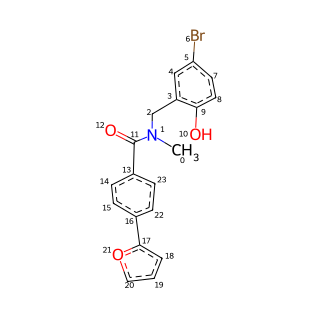 CN(Cc1cc(Br)ccc1O)C(=O)c1ccc(-c2ccco2)cc1